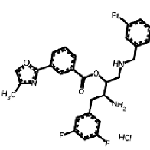 CCc1cccc(CNCC(OC(=O)c2cccc(-c3nc(C)co3)c2)C(N)Cc2cc(F)cc(F)c2)c1.Cl